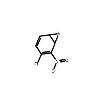 O=[N+]([O-])C1=C(Cl)C=CC2SC12